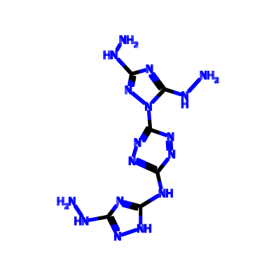 NNc1n[nH]c(Nc2nnc(-n3nc(NN)nc3NN)nn2)n1